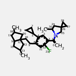 C=C(c1cc(C2CC2)c(CCC23CC(C)CC2CC(C)C3)cc1F)N1CC2(CC2)CC1C